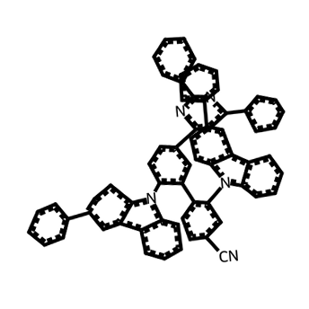 N#Cc1ccc(-c2cc(-c3cc(-c4ccccc4)nc(-c4ccccc4)n3)ccc2-n2c3ccccc3c3cc(-c4ccccc4)ccc32)c(-n2c3ccccc3c3cc(-c4ccccc4)ccc32)c1